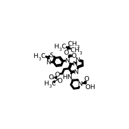 Cc1nc2ccc(N(C(=O)OC(C)(C)C)c3c(CCOS(C)(=O)=O)c(N[C@H]4CCCN(C(=O)O)C4)nc4ccnn34)cc2s1